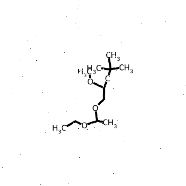 CCOC(C)OCC(CC(C)(C)C)OC